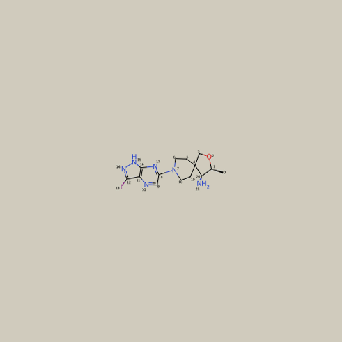 C[C@@H]1OCC2(CCN(c3cnc4c(I)n[nH]c4n3)CC2)[C@@H]1N